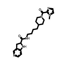 Cn1ccnc1C(=O)N1CCC(CCCCNC(=O)C2Cc3cnccc3N2)CC1